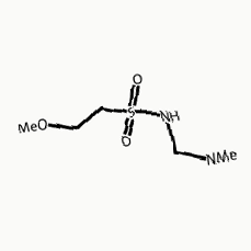 CNCNS(=O)(=O)CCOC